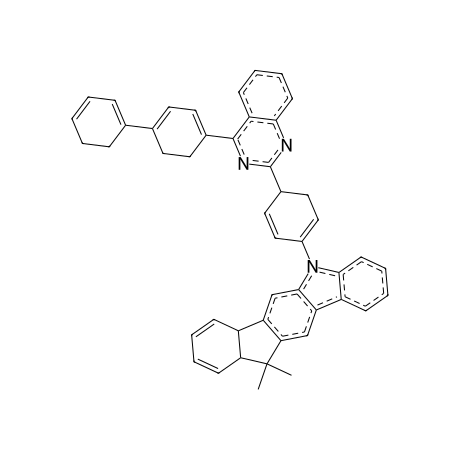 CC1(C)c2cc3c4ccccc4n(C4=CCC(c5nc(C6=CC=C(C7=CC=CCC7)CC6)c6ccccc6n5)C=C4)c3cc2C2C=CC=CC21